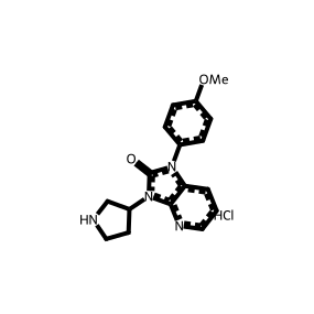 COc1ccc(-n2c(=O)n(C3CCNC3)c3ncccc32)cc1.Cl